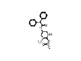 CN1CC(OC(=O)C(c2ccccc2)c2ccccc2)CN/C1=N/[N+](=O)[O-]